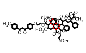 CCCCCCCCCCCCNC(=O)C(C(CC(c1ccccc1)C1C(=O)OC(=O)C1C)C(=O)O)C(CC1C(=O)N(CCCCCCCCCCCC)C(=O)C1C(CC(C(=O)O)C(C(=O)OCCOc1ccc(C(=O)CC(=O)c2ccc(C)cc2)cc1)C(CC)c1ccccc1)c1ccccc1)c1ccccc1